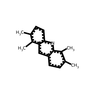 Cc1ccc2nc3c(C)c(C)ccc3cc2c1C